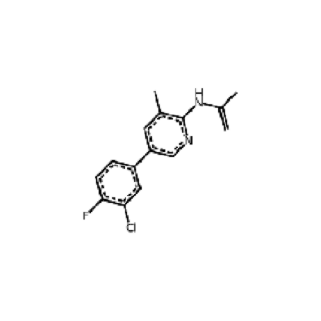 C=C(C)Nc1ncc(-c2ccc(F)c(Cl)c2)cc1C